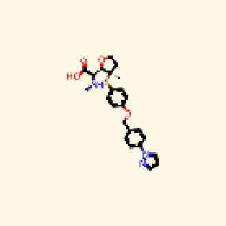 CNC(C(=O)O)[C@H]1OCC[C@@]1(C)Sc1ccc(OCc2ccc(-n3cccn3)cc2)cc1